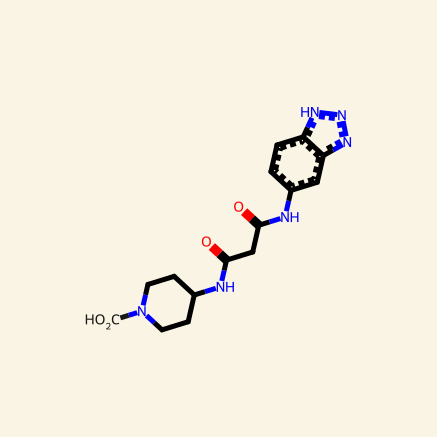 O=C(CC(=O)NC1CCN(C(=O)O)CC1)Nc1ccc2[nH]nnc2c1